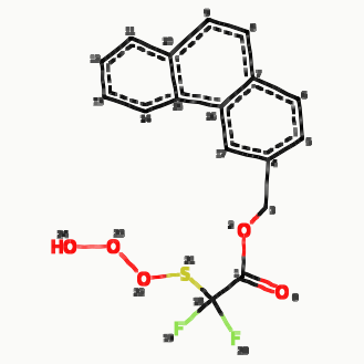 O=C(OCc1ccc2ccc3ccccc3c2c1)C(F)(F)SOOO